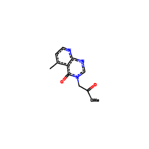 COC(=O)Cn1cnc2nccc(C)c2c1=O